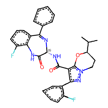 CC(C)C1CCn2nc(-c3ccccc3F)c(C(=O)N[C@H]3N=C(c4ccccc4)c4cccc(F)c4NC3=O)c2O1